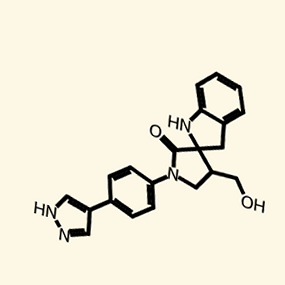 O=C1N(c2ccc(-c3cn[nH]c3)cc2)CC(CO)C12Cc1ccccc1N2